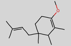 COC1=C(C)C(C)C(C)(CC=C(C)C)CC1